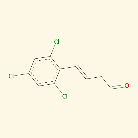 O=CCC=Cc1c(Cl)cc(Cl)cc1Cl